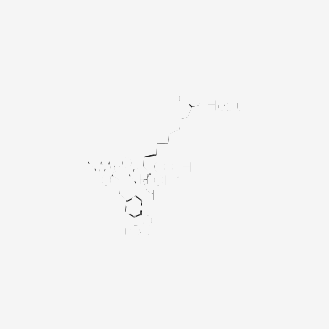 CCCCCCCC(=O)CCCCCC/C=C/[C@H](C(=O)N[C@@H](Cc1ccc(OCCCC)cc1)C(=O)NC)[C@@](O)(CCF)C(=O)O